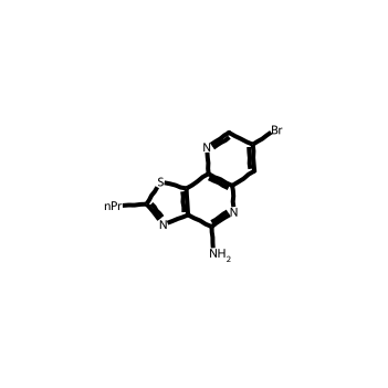 CCCc1nc2c(N)nc3cc(Br)cnc3c2s1